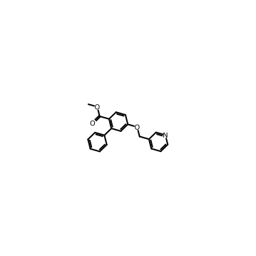 COC(=O)c1ccc(OCc2cccnc2)cc1-c1ccccc1